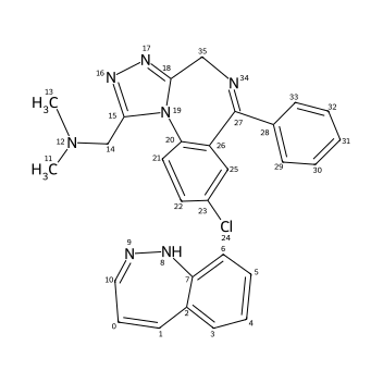 C1=Cc2ccccc2NN=C1.CN(C)Cc1nnc2n1-c1ccc(Cl)cc1C(c1ccccc1)=NC2